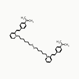 CN(C)c1ccc(/C=C/C2=CC=CCN2CCCCCCSSCCCCC[n+]2ccccc2/C=C/c2ccc(N(C)C)cc2)cc1